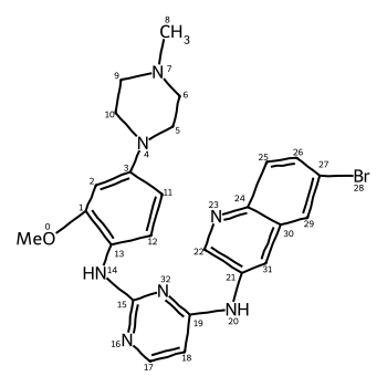 COc1cc(N2CCN(C)CC2)ccc1Nc1nccc(Nc2cnc3ccc(Br)cc3c2)n1